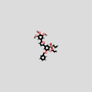 CCCOc1c(OCc2ccccc2)cc(C2CCC(c3cc(OC)c(OC)c(OC)c3)O2)cc1S(=O)(=O)CCC